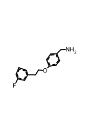 NCc1ccc(OCCc2cccc(F)c2)cc1